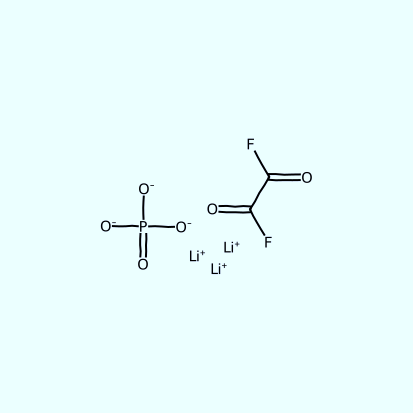 O=C(F)C(=O)F.O=P([O-])([O-])[O-].[Li+].[Li+].[Li+]